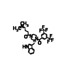 CN(C)CCCC(=O)N1CCN(C(=O)c2cc(C(F)(F)F)cc(C(F)(F)F)c2)[C@H](Cc2c[nH]c3ccccc23)C1